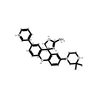 CC1(C)CN(c2ccc3c(c2)[C@]2(COC(N)=N2)c2cc(-c4cccnc4)ccc2O3)CCO1